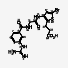 N=C(N)Nc1cccc(C(=O)NCC(=O)Nc2cc(Br)sc2CCC(=O)O)c1